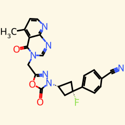 Cc1ccnc2ncn(Cc3nn([C@H]4C[C@](F)(c5ccc(C#N)cc5)C4)c(=O)o3)c(=O)c12